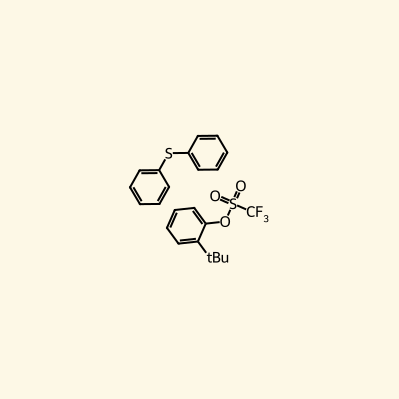 CC(C)(C)c1ccccc1OS(=O)(=O)C(F)(F)F.c1ccc(Sc2ccccc2)cc1